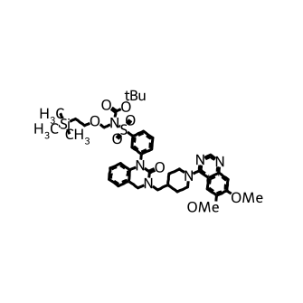 COc1cc2ncnc(N3CCC(CN4Cc5ccccc5N(c5cccc(S(=O)(=O)N(COCC[Si](C)(C)C)C(=O)OC(C)(C)C)c5)C4=O)CC3)c2cc1OC